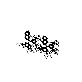 CC(C)(C)c1cc(P(c2[c]c3ccccc3cc2)c2cc(C(C)(C)C)cc(C(C)(C)C)c2)cc(C(C)(C)C)c1.CC(C)(C)c1cc(P(c2[c]c3ccccc3cc2)c2cc(C(C)(C)C)cc(C(C)(C)C)c2)cc(C(C)(C)C)c1